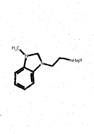 CCCCCCCCCN1[CH]N(C)c2ccccc21